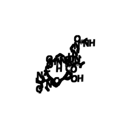 CCn1c(-c2cnccc2COC)c2c3cc(ccc31)-c1cc(O)cc(c1)C[C@H](NC(=O)[C@H](C(C)C)N(C)C(=O)N1CCCN(C(=O)[C@@H]3CN3)CC1)C(=O)N1CCC[C@H](N1)C(=O)OCC(C)(C)C2